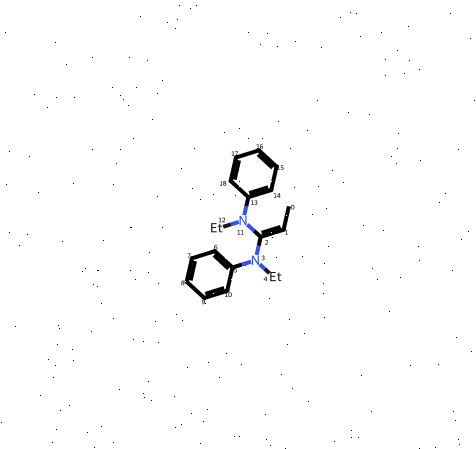 CC=C(N(CC)c1ccccc1)N(CC)c1ccccc1